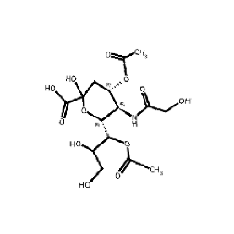 CC(=O)OC(C(O)CO)[C@@H]1OC(O)(C(=O)O)C[C@H](OC(C)=O)[C@H]1NC(=O)CO